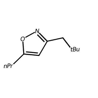 CCCc1cc(CC(C)(C)C)no1